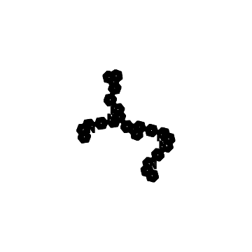 c1cc(-c2ccc3c(c2)-c2cccc4cccc-3c24)cc(-c2ccc3cc(-c4ccc5c(c4)-c4ccc(-c6ccc(-c7ccc8ccc9ccc(-c%10ccc(-c%11ccc%12ccc%13ccccc%13c%12n%11)cc%10)nc9c8n7)cc6)c6cccc-5c46)c4ccc(-c5ccc(-c6ccc7ccc8ccccc8c7n6)cc5)nc4c3n2)c1